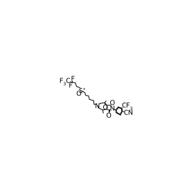 CC12CN(CCCCCC[S+]([O-])CCCC(F)(F)C(F)(F)F)CC(C)(O1)C1C(=O)N(c3ccc(C#N)c(C(F)(F)F)c3)C(=O)C12